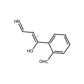 N=C/C=C(\O)c1ccccc1C=O